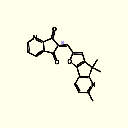 Cc1ccc2c(n1)C(C)(C)c1cc(/C=C3\C(=O)c4cccnc4C3=O)oc1-2